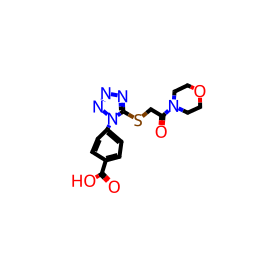 O=C(O)c1ccc(-n2nnnc2SCC(=O)N2CCOCC2)cc1